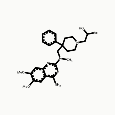 COc1cc2nc(N(C)CC3(c4ccccc4)CCN(CC(O)C(C)=O)CC3)nc(N)c2cc1OC